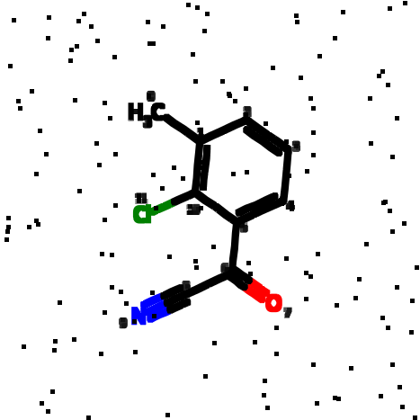 Cc1cccc(C(=O)C#N)c1Cl